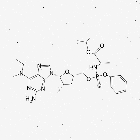 CCN(C)c1nc(N)nc2c1ncn2[C@@H]1O[C@H](COP(=O)(N[C@@H](C)C(=O)OC(C)C)Oc2ccccc2)C[C@@H]1C